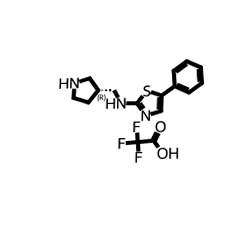 O=C(O)C(F)(F)F.c1ccc(-c2cnc(NC[C@@H]3CCNC3)s2)cc1